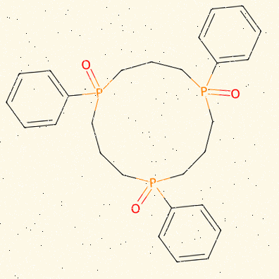 O=P1(c2ccccc2)CCCP(=O)(c2ccccc2)CCCP(=O)(c2ccccc2)CCC1